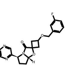 O=C1N2[C@@H](CC[C@H]2c2cnccn2)OC12CC(OCc1cccc(F)c1)C2